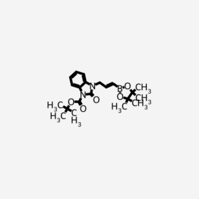 CC(C)(C)OC(=O)n1c(=O)n(CC=CB2OC(C)(C)C(C)(C)O2)c2ccccc21